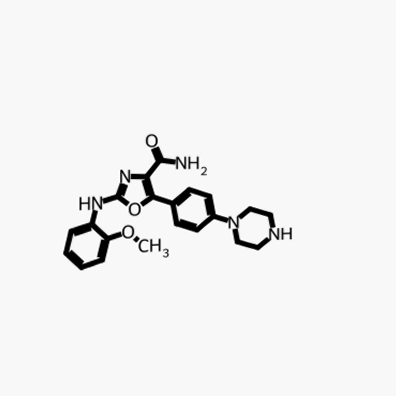 COc1ccccc1Nc1nc(C(N)=O)c(-c2ccc(N3CCNCC3)cc2)o1